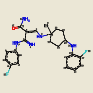 CCC1(N/C=C(\C(=N)Nc2ccc(F)cc2)C(N)=O)CCC(Nc2ccccc2F)CC1